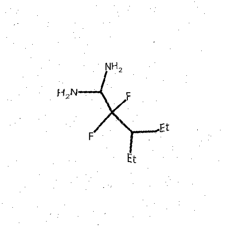 CCC(CC)C(F)(F)C(N)N